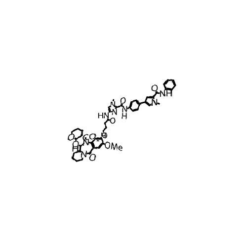 COc1cc2c(cc1OCCCC(=O)Nc1cn(C)c(C(=O)Nc3ccc(-c4cc(C(=O)Nc5ccccc5)n(C)c4)cc3)n1)N(C(=O)O)C(OC1CCCCO1)[C@@H]1CCCCN1C2=O